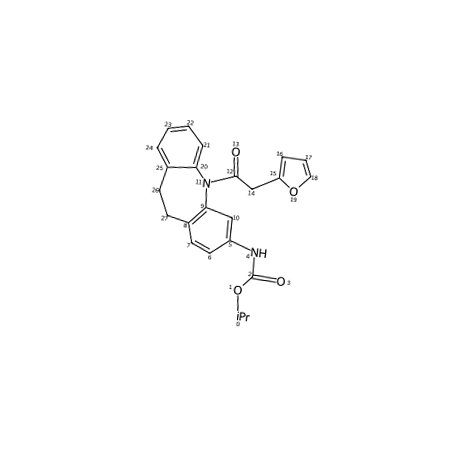 CC(C)OC(=O)Nc1ccc2c(c1)N(C(=O)Cc1ccco1)c1ccccc1CC2